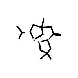 C=C(CC1(C)CO[C@H](C(C)C)C1)[C@H]1CC(C)(C)CO1